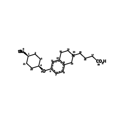 CC(C)(C)[C@H]1CC[C@@H](Oc2ccc3c(c2)CCN(CCCC(=O)O)C3)CC1